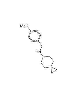 COc1ccc(CNC2CCC3(CC2)CC3)cc1